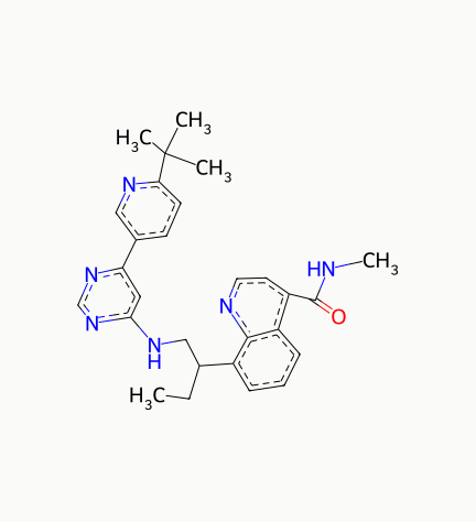 CCC(CNc1cc(-c2ccc(C(C)(C)C)nc2)ncn1)c1cccc2c(C(=O)NC)ccnc12